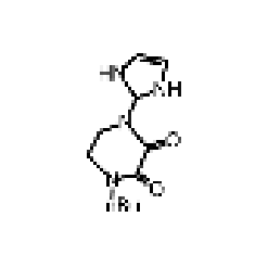 CCCCN1CCN(C2NC=CN2)C(=O)C1=O